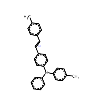 Cc1ccc(/C=C/c2ccc(N(c3ccccc3)c3ccc(C)cc3)cc2)cc1